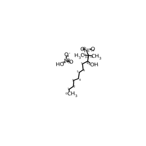 CCCCCCCCC(O)C(C)(C)[N+](=O)[O-].O=[N+]([O-])O